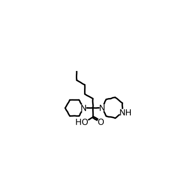 CCCCCC(C(=O)O)(N1CCCCC1)N1CCCNCC1